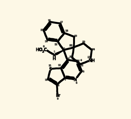 O=C(O)N[C@@]1(c2ncnc3c(Br)csc23)c2ccccc2CC12CCNCC2